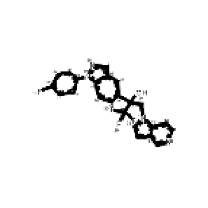 OC(Cn1ccc2cnccc21)(c1ccc2c(cnn2-c2ccc(F)cc2)c1)C(F)(F)F